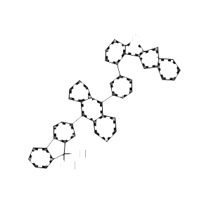 CC1(C)c2ccccc2-c2ccc(-c3c4ccccc4c(-c4cccc(-c5cccc6oc7cc8ccccc8cc7c56)c4)c4ccccc34)cc21